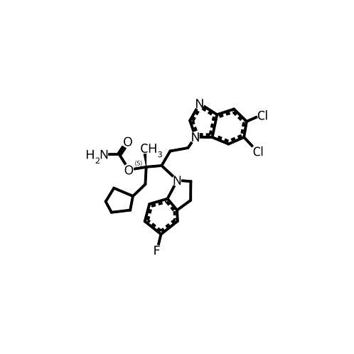 C[C@@](CC1CCCC1)(OC(N)=O)C(CCn1cnc2cc(Cl)c(Cl)cc21)N1CCc2cc(F)ccc21